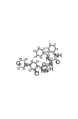 O=C1Nc2ccccc2C(c2ccccc2)=N[C@@H]1Nc1nnc(-c2ccc(N3CCOCC3)cc2Cl)o1